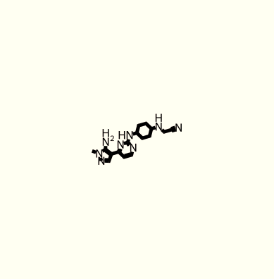 Cn1ncc(-c2ccnc(NC3CCC(NCC#N)CC3)n2)c1N